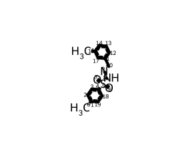 Cc1ccc(S(=O)(=O)NN=Cc2cccc(C)c2)cc1